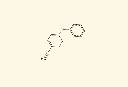 C#CC1=CC=C(Oc2ccccc2)CC1